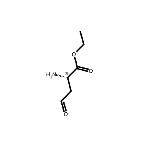 CCOC(=O)[C@@H](N)C[C]=O